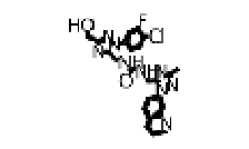 Cc1nc(CNC(=O)NCc2nc(CO)nn2-c2ccc(Cl)c(F)c2)n(-c2ccc3cccnc3c2)n1